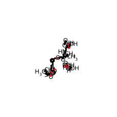 CC(C)CN(CCNCCc1ccc(O)c2c1OCC(=O)N2)C(=O)CCOCCc1cccc(CCN2CCC3(CC2)CN(C(=O)c2csc(C(C)C)n2)CCO3)c1.O=C(O)C(F)(F)F.O=C(O)C(F)(F)F